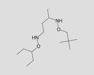 [CH2]C(CCNOC(CC)CC)NOCC(C)(C)C